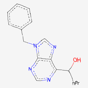 CCCC(O)c1ncnc2c1ncn2Cc1ccccc1